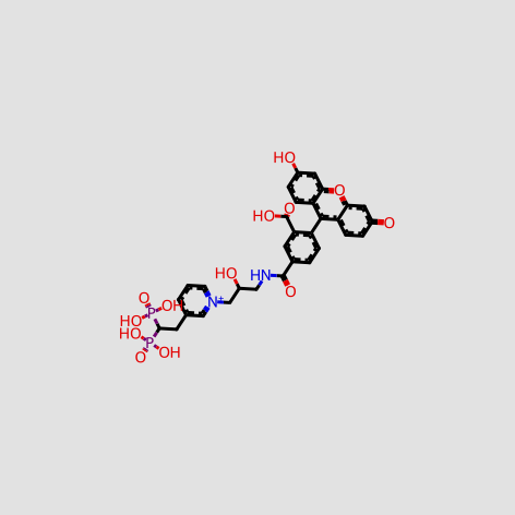 O=C(NCC(O)C[n+]1cccc(CC(P(=O)(O)O)P(=O)(O)O)c1)c1ccc(-c2c3ccc(=O)cc-3oc3cc(O)ccc23)c(C(=O)O)c1